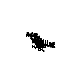 C=C(C)[C@@H]1CCC2(NC(=O)NCc3ccccc3)CC[C@@]3(C)C4(C)CC[C@H]5C(C)(C)C(O)CCC5(C)[C@H]4CCC3(N)[C@@H]12